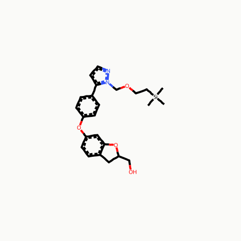 C[Si](C)(C)CCOCn1nccc1-c1ccc(Oc2ccc3c(c2)OC(CO)C3)cc1